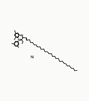 CCCCCCCCCCCCCCCCCCCCCCCCCCCC=CC(=Nc1cc(C)cc(C)c1)C(CC)=Nc1cc(C)cc(C)c1.[Ni]